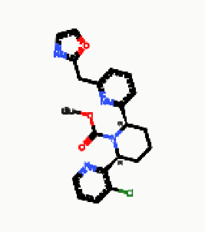 CC(C)(C)OC(=O)N1[C@@H](c2cccc(Cc3ncco3)n2)CCC[C@H]1c1ncccc1Cl